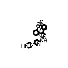 CS(=O)(=O)c1cccc2c1OC1(CCCCC1)c1nc(Nc3ccc(N4CCNCC4)cn3)ncc1-2